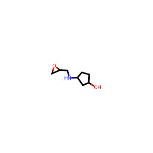 OC1CCC(NCC2CO2)C1